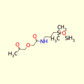 CC(=O)COCC(=O)NCCC[Si](C)(C)O[SiH3]